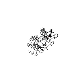 [2H]c1c([2H])c([2H])c(N(c2ccc(-c3ccccc3C)c(-c3ccccc3C)c2F)c2ccc3ccc4c(N(c5ccc(-c6ccccc6C)c(-c6ccccc6C)c5F)c5c([2H])c([2H])c([2H])c([2H])c5[2H])ccc5ccc2c3c54)c([2H])c1[2H]